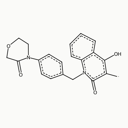 [CH2]c1c(O)c2ccccc2n(Cc2ccc(N3CCOCC3=O)cc2)c1=O